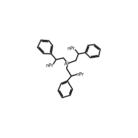 CCCC([CH2][Al]([CH2]C(CCC)c1ccccc1)[CH2]C(CCC)c1ccccc1)c1ccccc1